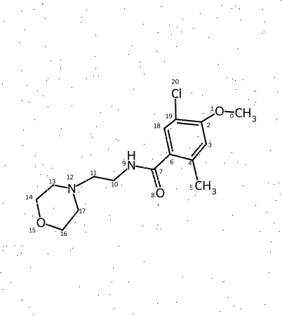 COc1cc(C)c(C(=O)NCCN2CCOCC2)cc1Cl